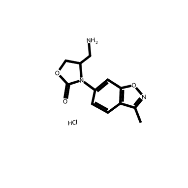 Cc1noc2cc(N3C(=O)OCC3CN)ccc12.Cl